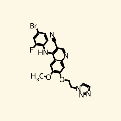 COc1cc2c(Nc3ccc(Br)cc3F)c(C#N)cnc2cc1OCCn1ccnn1